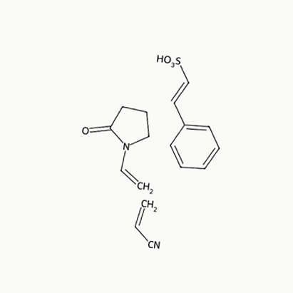 C=CC#N.C=CN1CCCC1=O.O=S(=O)(O)C=Cc1ccccc1